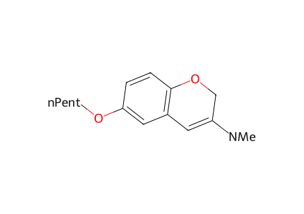 CCCCCOc1ccc2c(c1)C=C(NC)CO2